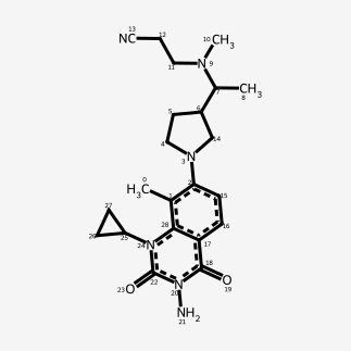 Cc1c(N2CCC(C(C)N(C)CCC#N)C2)ccc2c(=O)n(N)c(=O)n(C3CC3)c12